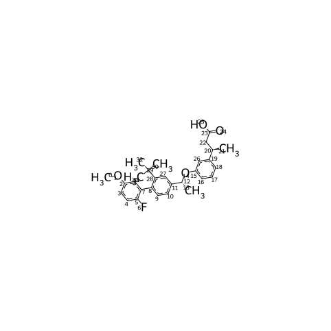 COc1ccc(F)c(-c2ccc([C@@H](C)Oc3cccc([C@H](C)CC(=O)O)c3)cc2C(C)(C)C)c1